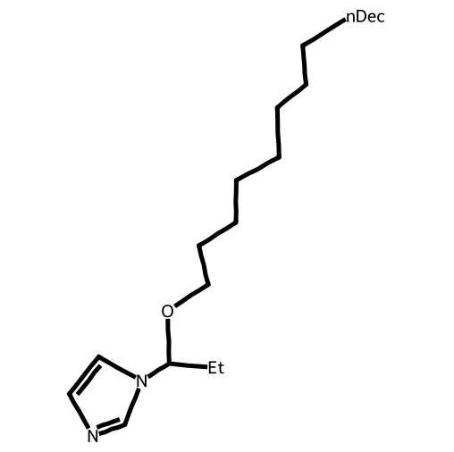 CCCCCCCCCCCCCCCCCCOC(CC)n1ccnc1